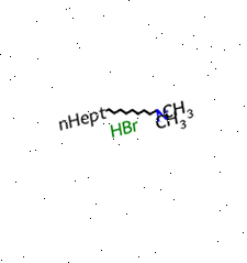 Br.CCCCCCCCCCCCCCCCN(C)C